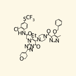 CCc1c(N2CCN(C(=O)c3ncnc(C)c3OCc3ccccc3)CC2)c(=O)n2nc(C3=CCOCC3)nc2n1CC(=O)Nc1ccc(SC(F)(F)F)cc1Cl